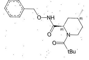 C[C@@H]1CCN(C(=O)C(C)(C)C)[C@@H](C(=O)NOCc2ccccc2)C1